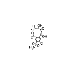 CC1OC(=O)c2cc(S(N)(=O)=O)c(Cl)cc2N(O)CC(=O)C(O)C1=O